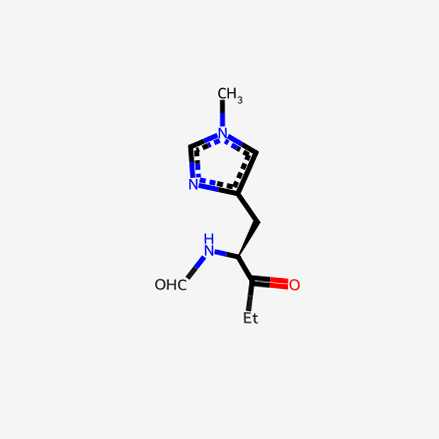 CCC(=O)[C@H](Cc1cn(C)cn1)NC=O